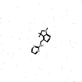 CN1CC(C)(C)c2c(CNc3ncccn3)cccc21